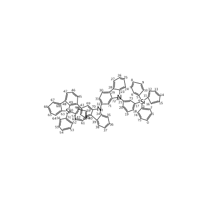 c1ccc([Si](c2ccccc2)(c2ccccc2)c2cccc(-n3c4ccccc4c4ccc(-n5c6ccccc6c6ccc(-c7cccc8c7[Si](c7ccccc7)(c7ccccc7)c7ccccc7-8)cc65)cc43)c2)cc1